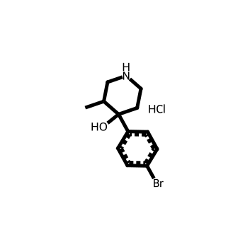 CC1CNCCC1(O)c1ccc(Br)cc1.Cl